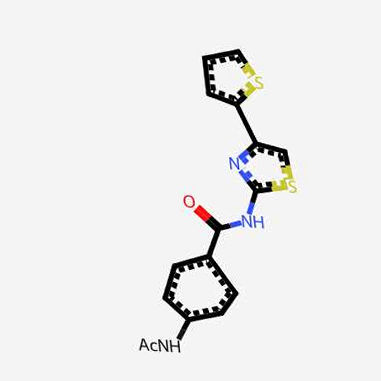 CC(=O)Nc1ccc(C(=O)Nc2nc(-c3cccs3)cs2)cc1